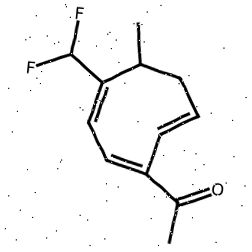 CC(=O)C1=C/C=C(/C(F)F)C(C)C\C=C\1